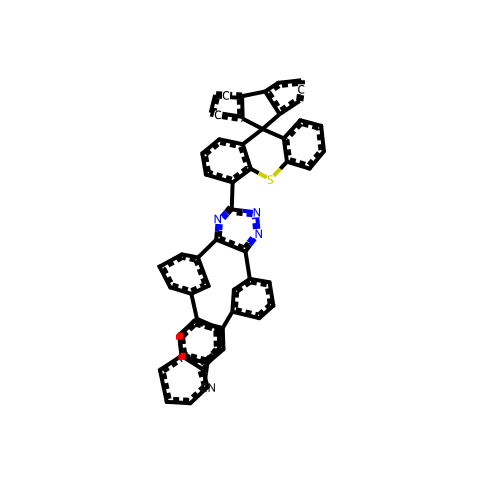 N#Cc1cccc(-c2cccc(-c3nnc(-c4cccc5c4Sc4ccccc4C54c5ccccc5-c5ccccc54)nc3-c3cccc(-c4ccc5ccccc5c4)c3)c2)c1